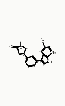 O=C1CC(c2cccc(-c3c[nH]c4ncc(Cl)cc34)c2)CN1